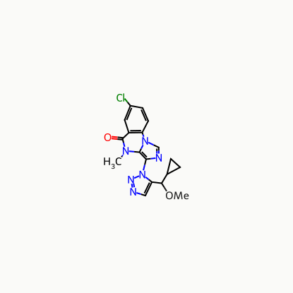 COC(c1cnnn1-c1ncn2c3ccc(Cl)cc3c(=O)n(C)c12)C1CC1